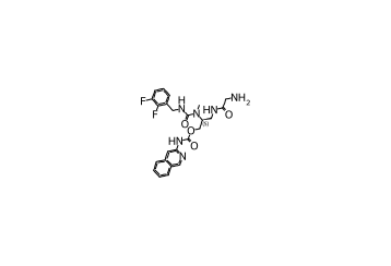 CN(C(=O)NCc1cccc(F)c1F)[C@@H](CNC(=O)CN)COC(=O)Nc1cc2ccccc2cn1